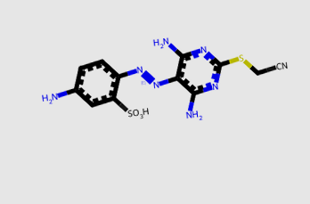 N#CCSc1nc(N)c(/N=N/c2ccc(N)cc2S(=O)(=O)O)c(N)n1